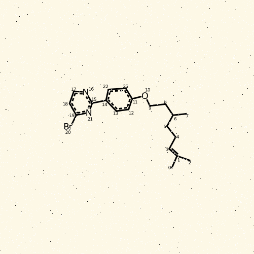 CC(C)=CCCC(C)CCOc1ccc(-c2nccc(Br)n2)cc1